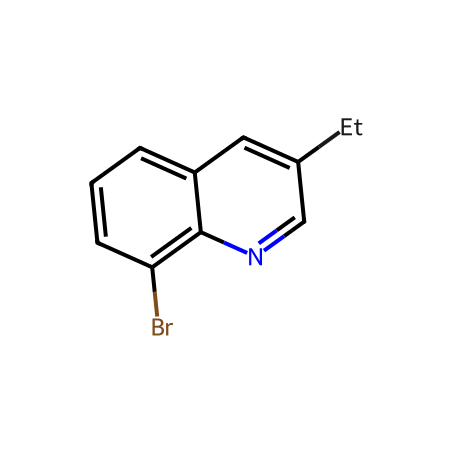 CCc1cnc2c(Br)cccc2c1